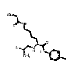 [CH2]c1ccc(NC(=O)[C@H](CCCCNC(=O)OC(C)(C)C)NC[C@@H](N)C(C)C)cc1